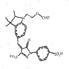 CCOC(=O)C1=NN(c2ccc(S(=O)(=O)O)cc2)C(=O)/C1=C\c1ccc2c(c1)C(C)(C)C(C)N2CCOC=O